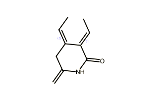 C=C1CC(=C/C)/C(=C\C)C(=O)N1